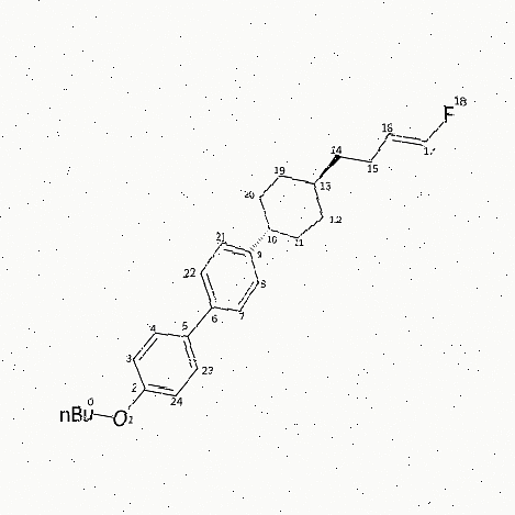 CCCCOc1ccc(-c2ccc([C@H]3CC[C@H](CCC=CF)CC3)cc2)cc1